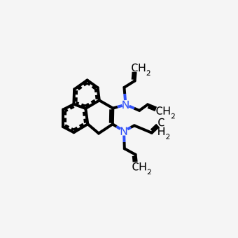 C=CCN(CC=C)C1=C(N(CC=C)CC=C)c2cccc3cccc(c23)C1